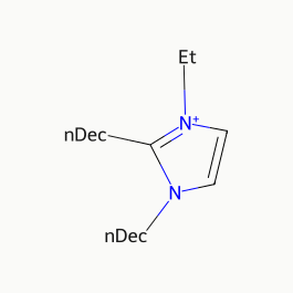 CCCCCCCCCCc1n(CCCCCCCCCC)cc[n+]1CC